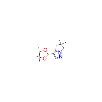 CC1(C)Cc2c(C3OC(C)(C)C(C)(C)O3)cnn2C1